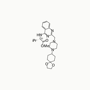 COC(=O)[C@@H](Nc1nc(CN2CCN(C3CCC4(CC3)OCCO4)CC2)nc2ccccc12)C(C)C